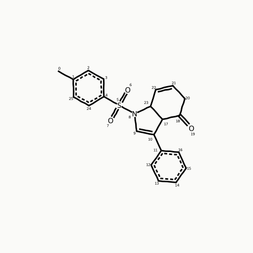 Cc1ccc(S(=O)(=O)N2C=C(c3ccccc3)C3C(=O)CC=CC32)cc1